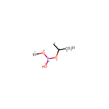 CCOC(=O)C(C)OP(O)OCC